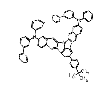 CC(C)(C)c1ccc(-c2cc3c4cc5ccc(N(c6ccccc6)c6cccc(-c7ccccc7)c6)cc5cc4n4c5cc6cc(N(c7ccccc7)c7cccc(-c8ccccc8)c7)ccc6cc5c(c2)c34)cc1